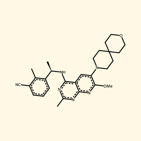 COc1nc2nc(C)nc(N[C@H](C)c3cccc(C#N)c3C)c2cc1N1CCC2(CCOCC2)CC1